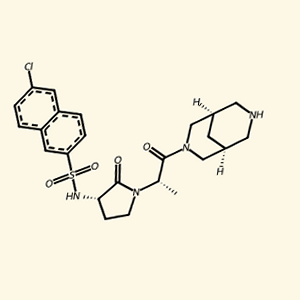 C[C@@H](C(=O)N1C[C@@H]2CNC[C@@H](C2)C1)N1CC[C@H](NS(=O)(=O)c2ccc3cc(Cl)ccc3c2)C1=O